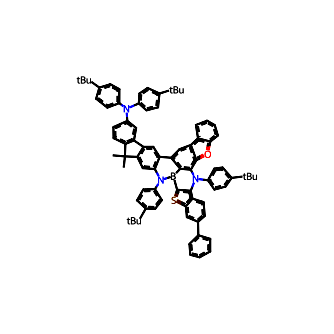 CC(C)(C)c1ccc(N2B3c4sc5cc(-c6ccccc6)ccc5c4N(c4ccc(C(C)(C)C)cc4)c4c3c(cc3c4oc4ccccc43)-c3cc4c(cc32)C(C)(C)c2ccc(N(c3ccc(C(C)(C)C)cc3)c3ccc(C(C)(C)C)cc3)cc2-4)cc1